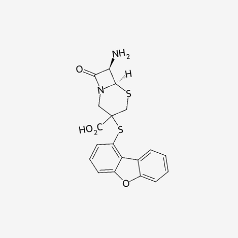 N[C@@H]1C(=O)N2CC(Sc3cccc4oc5ccccc5c34)(C(=O)O)CS[C@H]12